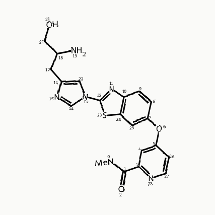 CNC(=O)c1cc(Oc2ccc3nc(-n4cnc(CC(N)CO)c4)sc3c2)ccn1